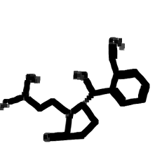 C=Cc1ccccc1C(O)[C@@H]1CCC(=O)N1CCN(C(=O)O)C(C)(C)C